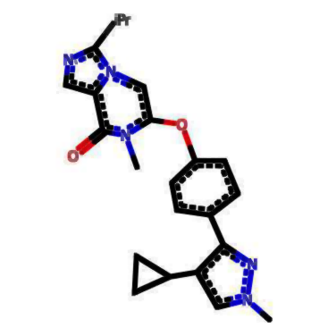 CC(C)c1ncc2c(=O)n(C)c(Oc3ccc(-c4nn(C)cc4C4CC4)cc3)cn12